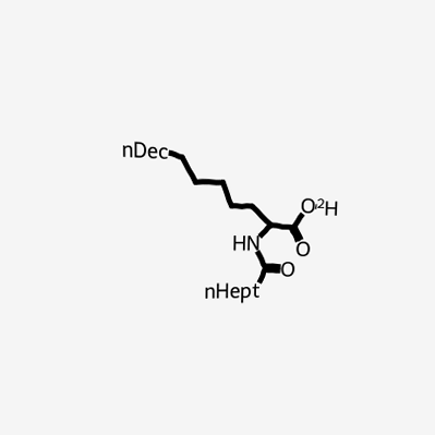 [2H]OC(=O)C(CCCCCCCCCCCCCCC)NC(=O)CCCCCCC